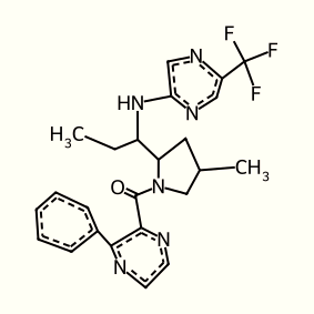 CCC(Nc1cnc(C(F)(F)F)cn1)C1CC(C)CN1C(=O)c1nccnc1-c1ccccc1